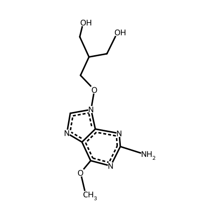 COc1nc(N)nc2c1ncn2OCC(CO)CO